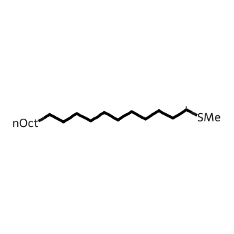 [CH2]CCCCCCCCCCCCCCCCC[CH]SC